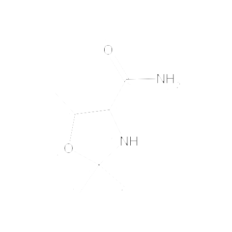 CC1OC(C)(C)NC1C(N)=O